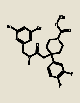 CN(Cc1cc(Br)cc(Br)c1)C(=O)CC1(c2ccc(F)c(F)c2)CCN(C(=O)OC(C)(C)C)CC1